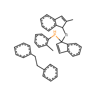 CC1=Cc2ccccc2[CH]1[Ti][C]1(Pc2ccccc2C)C=Cc2ccccc21.c1ccc(CCc2ccccc2)cc1